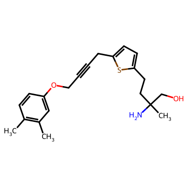 Cc1ccc(OCC#CCc2ccc(CCC(C)(N)CO)s2)cc1C